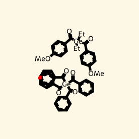 C[CH2][Ge]([CH2]C)([C](=O)c1ccc(OC)cc1)[C](=O)c1ccc(OC)cc1.O=[C](c1ccccc1)[Ge]([C](=O)c1ccccc1)([C](=O)c1ccccc1)[C](=O)c1ccccc1